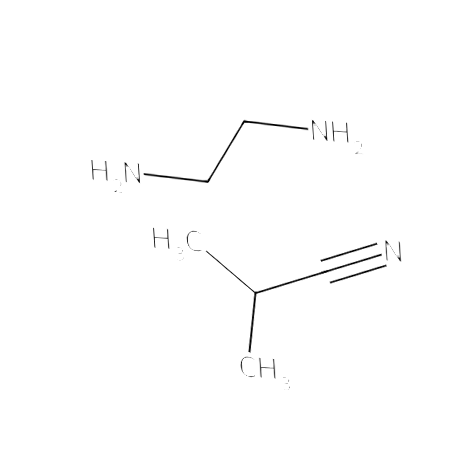 CC(C)C#N.NCCN